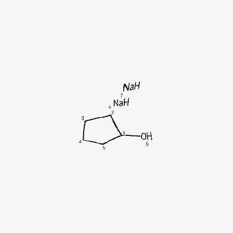 OC1CCCC1.[NaH].[NaH]